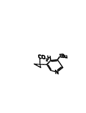 CC(C)(C)c1cncc(C2(C(=O)O)CC2)c1